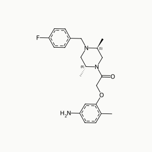 Cc1ccc(N)cc1OCC(=O)N1C[C@H](C)N(Cc2ccc(F)cc2)C[C@H]1C